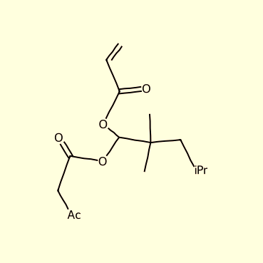 C=CC(=O)OC(OC(=O)CC(C)=O)C(C)(C)CC(C)C